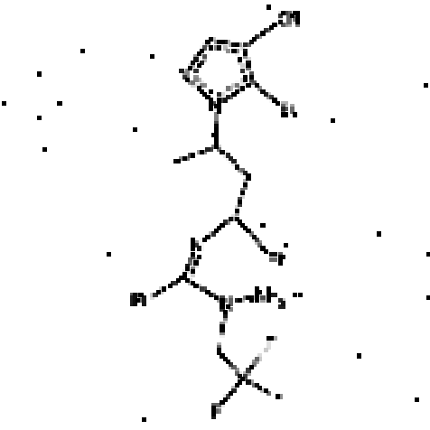 CCc1c(C#N)cnn1C(C)CC(CC)/N=C(/C(C)C)N(N)CC(C)(F)F